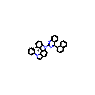 CC1C=CC=C2[C@H]1c1c(ccc3ccn(-c4ccccc4)c13)N2c1nc(-c2cccc3ccccc23)c2ccccc2n1